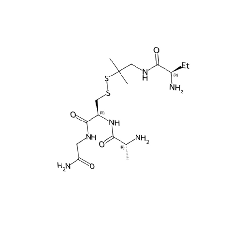 CC[C@@H](N)C(=O)NCC(C)(C)SSC[C@@H](NC(=O)[C@@H](C)N)C(=O)NCC(N)=O